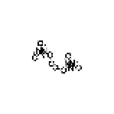 Cc1ccccc1-c1nc(-c2cccc(-c3ccc4ccc(-c5cccc(-c6nc(-c7ccccc7C)nc(-c7ccccc7C)n6)c5)cc4c3)c2)nc(-c2ccccc2C)n1